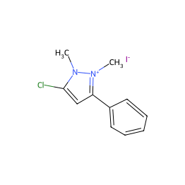 Cn1c(Cl)cc(-c2ccccc2)[n+]1C.[I-]